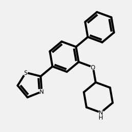 c1ccc(-c2ccc(-c3nccs3)cc2OC2CCNCC2)cc1